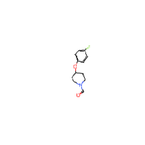 O=CN1CCC(Oc2ccc(F)cc2)CC1